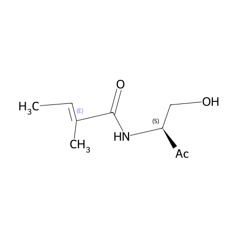 C/C=C(\C)C(=O)N[C@@H](CO)C(C)=O